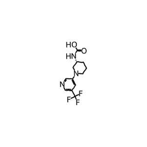 O=C(O)N[C@@H]1CCCN(c2cncc(C(F)(F)F)c2)C1